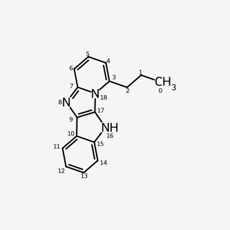 CCCc1cccc2nc3c4ccccc4[nH]c3n12